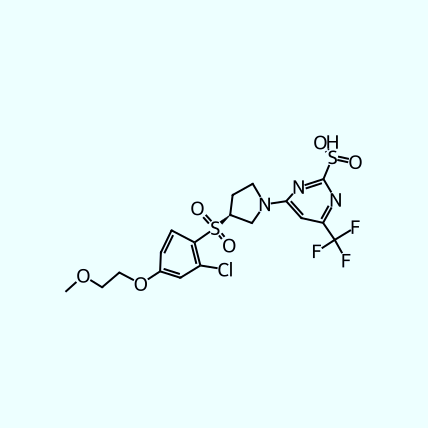 COCCOc1ccc(S(=O)(=O)[C@H]2CCN(c3cc(C(F)(F)F)nc([SH](=O)=O)n3)C2)c(Cl)c1